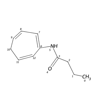 CCCC(=O)NC1=CC=CCC=C1